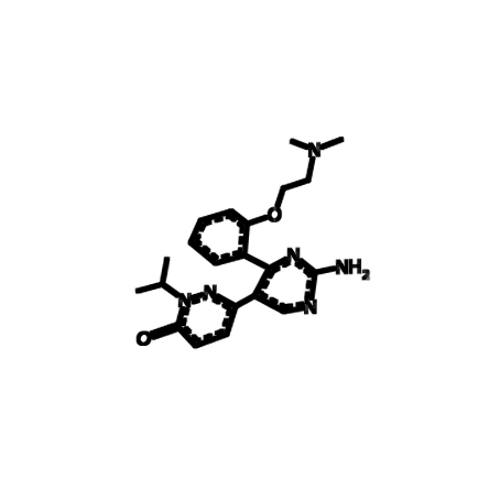 CC(C)n1nc(-c2cnc(N)nc2-c2ccccc2OCCN(C)C)ccc1=O